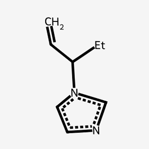 C=CC(CC)n1ccnc1